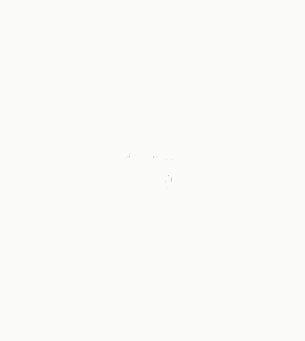 [O-2].[O-2].[Sn+4].[Zr]